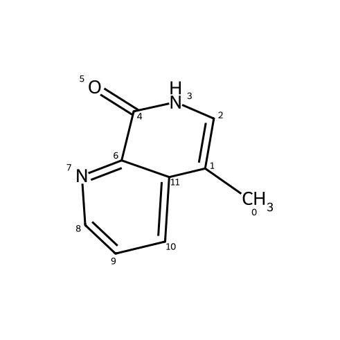 Cc1c[nH]c(=O)c2ncccc12